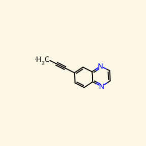 [CH2]C#Cc1ccc2nccnc2c1